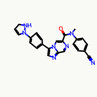 CN(C(=O)c1cn2c(-c3ccc(N4C=CCN4)cc3)cnc2cn1)c1ccc(C#N)cc1